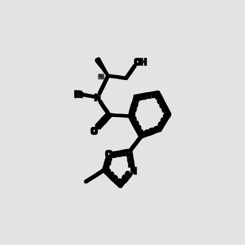 CCN(C(=O)c1ccccc1-c1ncc(C)o1)[C@@H](C)CO